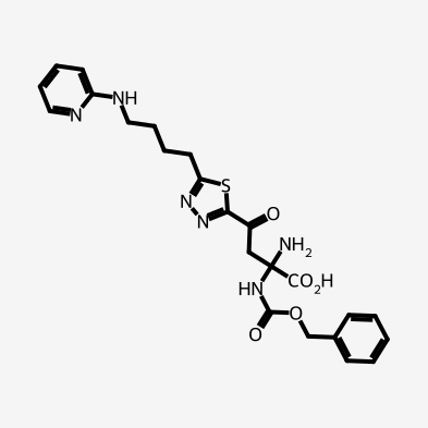 NC(CC(=O)c1nnc(CCCCNc2ccccn2)s1)(NC(=O)OCc1ccccc1)C(=O)O